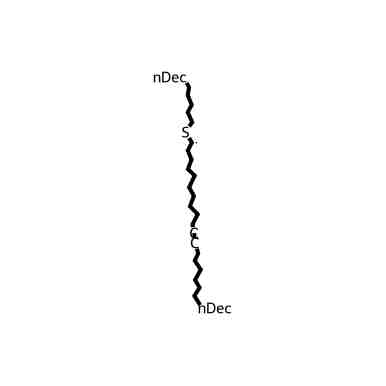 CCCCCCCCCCCCCCCCCCCCCCCCCCC[CH]SCCCCCCCCCCCCCCC